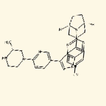 C[C@@H]1CN(c2ccc(-c3n[nH]c4cnc(N5[C@@H]6CC[C@H]5CN(c5ccc(C#N)cc5)C6)nc34)cn2)CCN1